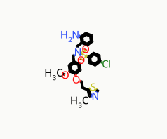 COc1cc(CN(Cc2ccccc2N)S(=O)(=O)c2ccc(Cl)cc2)ccc1OCCc1scnc1C